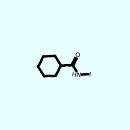 O=C(NI)C1CCCCC1